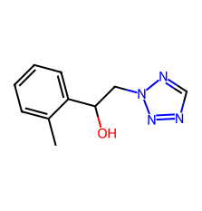 Cc1ccccc1C(O)Cn1ncnn1